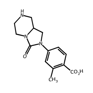 Cc1cc(N2CC3CNCCN3C2=O)ccc1C(=O)O